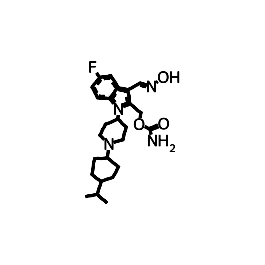 CC(C)C1CCC(N2CCC(n3c(COC(N)=O)c(C=NO)c4cc(F)ccc43)CC2)CC1